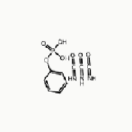 N=C=O.N=C=O.N=C=O.O=P(O)(O)Oc1ccccc1